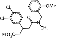 CCOC(=O)CC(CC(=O)N(C)Cc1ccccc1OC)c1ccc(Cl)c(Cl)c1